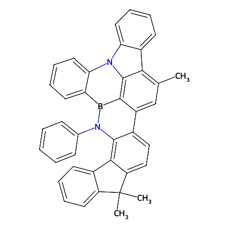 Cc1cc2c3c4c1c1ccccc1n4-c1ccccc1B3N(c1ccccc1)c1c-2ccc2c1-c1ccccc1C2(C)C